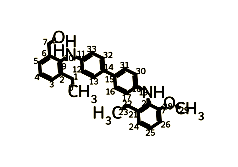 CCc1cccc(CO)c1Nc1ccc(-c2ccc(Nc3c(CC)cccc3OC)cc2)cc1